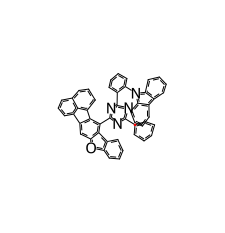 c1ccc(-c2nc(-c3ccccc3-n3c4ccccc4c4ccccc43)nc(-c3c4c(cc5oc6ccccc6c35)-c3cccc5cccc-4c35)n2)cc1